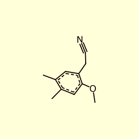 COc1cc(C)c(C)cc1CC#N